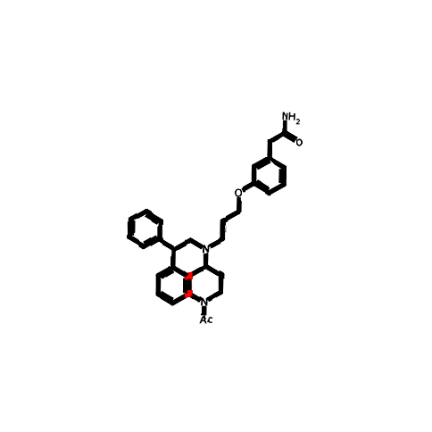 CC(=O)N1CCC(N(CCCOc2cccc(CC(N)=O)c2)CC(c2ccccc2)c2ccccc2)CC1